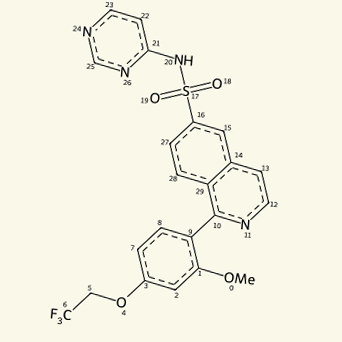 COc1cc(OCC(F)(F)F)ccc1-c1nccc2cc(S(=O)(=O)Nc3ccncn3)ccc12